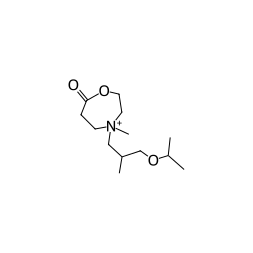 CC(COC(C)C)C[N+]1(C)CCOC(=O)CC1